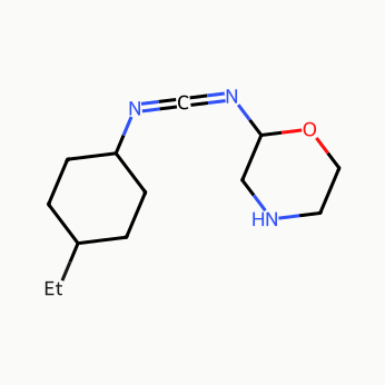 CCC1CCC(N=C=NC2CNCCO2)CC1